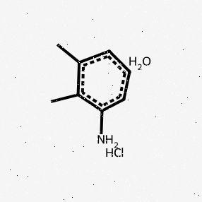 Cc1cccc(N)c1C.Cl.O